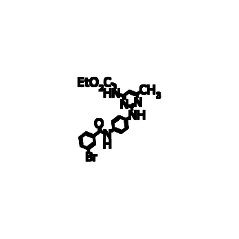 CCOC(=O)CNc1cc(C)nc(Nc2ccc(NC(=O)c3cccc(Br)c3)cc2)n1